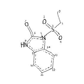 CCS(=O)(=O)n1c(=O)[nH]c2ccccc21